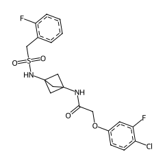 O=C(COc1ccc(Cl)c(F)c1)NC12CC(NS(=O)(=O)Cc3ccccc3F)(C1)C2